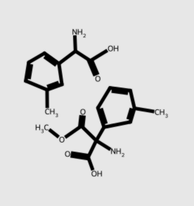 COC(=O)C(N)(C(=O)O)c1cccc(C)c1.Cc1cccc(C(N)C(=O)O)c1